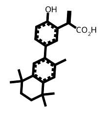 C=C(C(=O)O)c1cc(-c2cc3c(cc2C)C(C)(C)CCC3(C)C)ccc1O